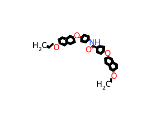 C=CCOc1ccc2cc(Oc3ccc(NC(=O)c4ccc(Oc5ccc6cc(OCC=C)ccc6c5)cc4)cc3)ccc2c1